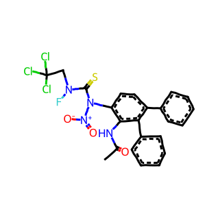 CC(=O)Nc1c(N(C(=S)N(F)CC(Cl)(Cl)Cl)[N+](=O)[O-])ccc(-c2ccccc2)c1-c1ccccc1